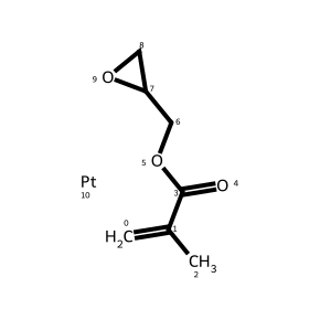 C=C(C)C(=O)OCC1CO1.[Pt]